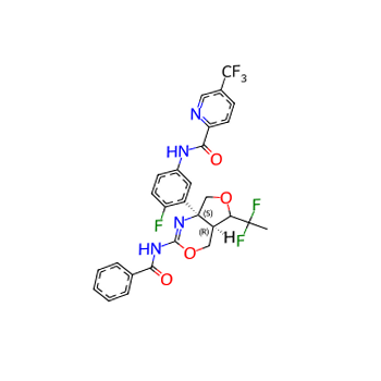 CC(F)(F)C1OC[C@]2(c3cc(NC(=O)c4ccc(C(F)(F)F)cn4)ccc3F)N=C(NC(=O)c3ccccc3)OC[C@H]12